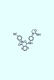 N#Cc1ccc(NC(=O)c2nccnc2C(=O)Nc2ccc(N3CCOC3=N)cc2)cc1